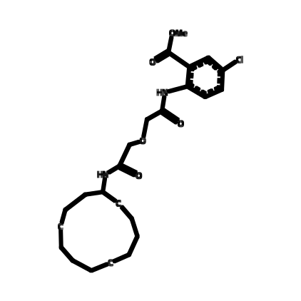 COC(=O)c1cc(Cl)ccc1NC(=O)COCC(=O)NC1CCCCCCCCCCC1